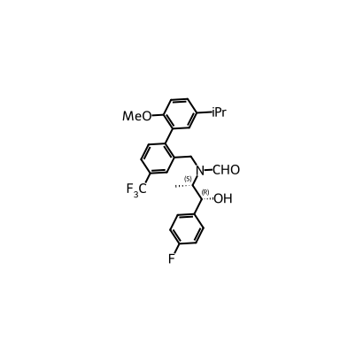 COc1ccc(C(C)C)cc1-c1ccc(C(F)(F)F)cc1CN(C=O)[C@@H](C)[C@H](O)c1ccc(F)cc1